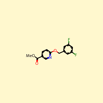 COC(=O)c1ccc(OCc2cc(F)cc(F)c2)nc1